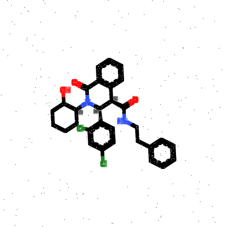 O=C(NCCc1ccccc1)[C@@H]1c2ccccc2C(=O)N([C@H]2CCCCC2O)[C@H]1c1ccc(Cl)cc1Cl